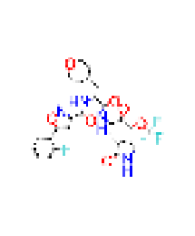 O=C(NC(CC1CCOCC1)C(=O)N[C@@H](C[C@@H]1CCNC1=O)C(=O)COC(F)(F)F)c1cc(-c2ccccc2F)on1